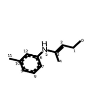 CC/C=C(\C)Nc1cccc(C)c1